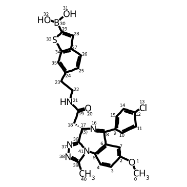 COc1ccc2c(c1)C(c1ccc(Cl)cc1)=N[C@@H](CC(=O)NCCc1ccc3cc(B(O)O)sc3c1)c1nnc(C)n1-2